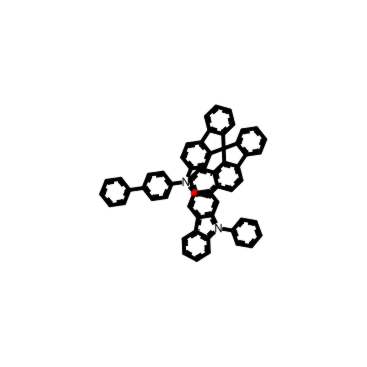 c1ccc(-c2ccc(N(c3ccc4c(c3)C3(c5ccccc5-4)c4ccccc4-c4ccc5ccccc5c43)c3ccc4c(c3)c3ccccc3n4-c3ccccc3)cc2)cc1